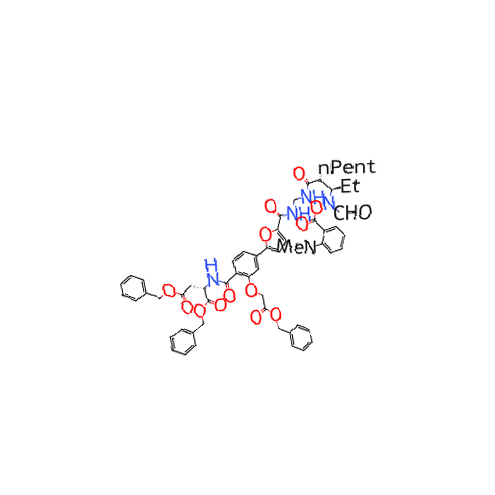 CCCCC[C@@H](C(=O)NCNC(=O)c1ccc(-c2ccc(C(=O)N[C@@H](CC(=O)OCc3ccccc3)C(=O)OCc3ccccc3)c(OCC(=O)OCc3ccccc3)c2)o1)[C@@H](CC)N(C=O)OC(=O)c1ccccc1NC